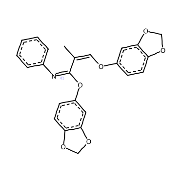 CC(=COc1ccc2c(c1)OCO2)/C(=N\c1ccccc1)Oc1ccc2c(c1)OCO2